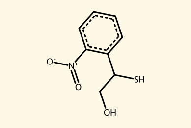 O=[N+]([O-])c1ccccc1C(S)CO